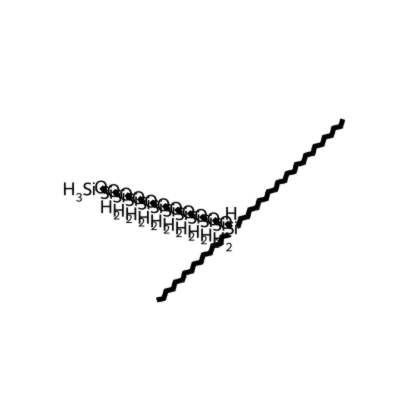 CCCCCCCCCCCCCCCCCCCCCCCC[SiH](CCCCCCCCCCCCCCCC)O[SiH2]O[SiH2]O[SiH2]O[SiH2]O[SiH2]O[SiH2]O[SiH2]O[SiH2]O[SiH2]O[SiH2]O[SiH3]